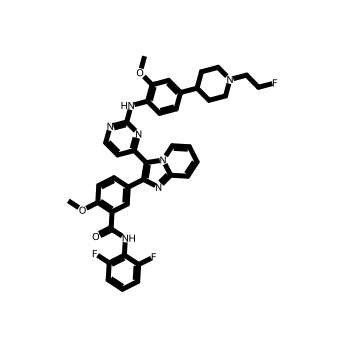 COc1cc(C2CCN(CCF)CC2)ccc1Nc1nccc(-c2c(-c3ccc(OC)c(C(=O)Nc4c(F)cccc4F)c3)nc3ccccn23)n1